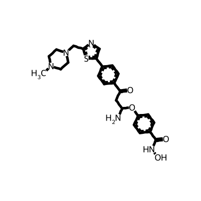 CN1CCN(Cc2ncc(-c3ccc(C(=O)CC(N)Oc4ccc(C(=O)NO)cc4)cc3)s2)CC1